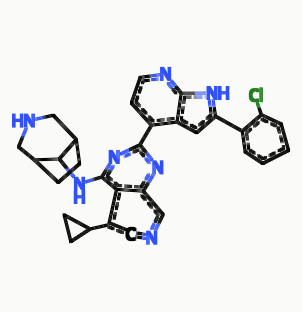 Clc1ccccc1-c1cc2c(-c3nc(NC4C5CCC4CNC5)c4c(C5CC5)cncc4n3)ccnc2[nH]1